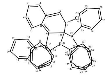 Cl[C@H]1C=c2ccccc2=C(c2cccc3ccccc23)C1(P(c1ccccc1)c1ccccc1)P(c1ccccc1)c1ccccc1